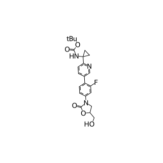 CC(C)(C)OC(=O)NC1(c2ccc(-c3ccc(N4CC(CO)OC4=O)cc3F)cn2)CC1